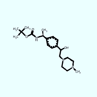 C[C@H](NC(=O)OC(C)(C)C)c1ccc(C(O)CN2CCN(C)CC2)cc1